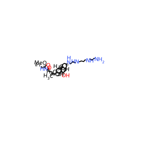 COC(=O)[C@H](CC(C)C)NC(=O)CC[C@@H](C)[C@H]1CC[C@H]2[C@@H]3[C@H](O)C[C@@H]4C[C@@H](NCCCNCCCCNCCCN)CC[C@]4(C)[C@H]3CC[C@]12C